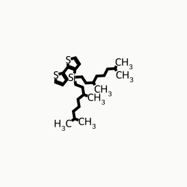 CC(C)CCCC(C)CC[Si]1(CCC(C)CCCC(C)C)c2ccsc2-c2sccc21